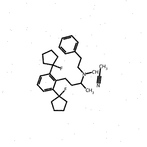 CC#N.CC(CCc1c(C2(F)CCCC2)cccc1C1(F)CCCC1)N(C)CCc1ccccc1